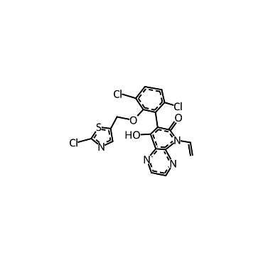 C=Cn1c(=O)c(-c2c(Cl)ccc(Cl)c2OCc2cnc(Cl)s2)c(O)c2nccnc21